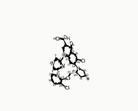 O=C(O)c1cn(-c2cnccn2)c2cc(N3C[C@H](F)C[C@@H]3COc3ncccc3Cl)c(Cl)cc2c1=O